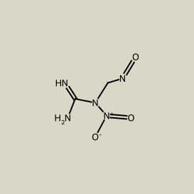 N=C(N)N(CN=O)[N+](=O)[O-]